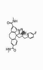 CNC(=O)c1ccc2c(c1)CCc1cc(C(=O)NC)ccc1C2(C[C@@H](N)Cc1ccc(F)cc1)c1nnn[nH]1